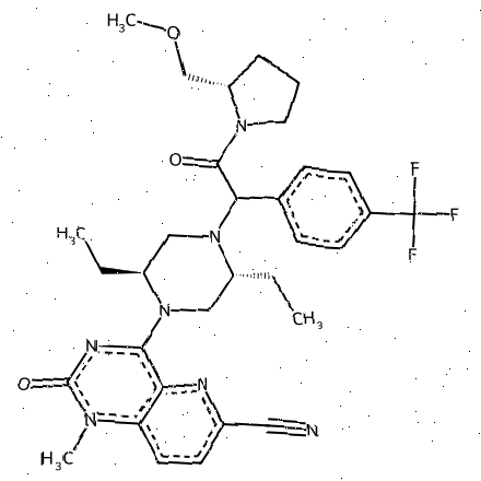 CC[C@H]1CN(C(C(=O)N2CCC[C@H]2COC)c2ccc(C(F)(F)F)cc2)[C@H](CC)CN1c1nc(=O)n(C)c2ccc(C#N)nc12